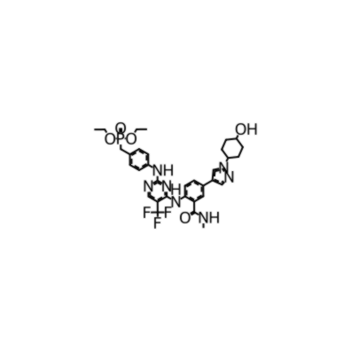 CCOP(=O)(Cc1ccc(Nc2ncc(C(F)(F)F)c(Nc3ccc(-c4cnn(C5CCC(O)CC5)c4)cc3C(=O)NC)n2)cc1)OCC